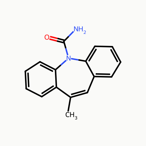 CC1=Cc2ccccc2N(C(N)=O)c2ccccc21